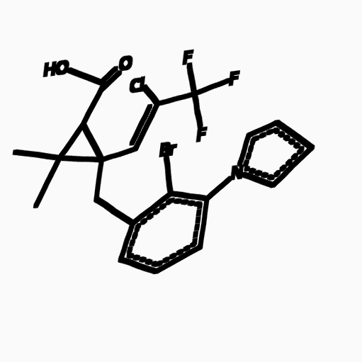 CC1(C)C(C(=O)O)C1(C=C(Cl)C(F)(F)F)Cc1cccc(-n2cccc2)c1Br